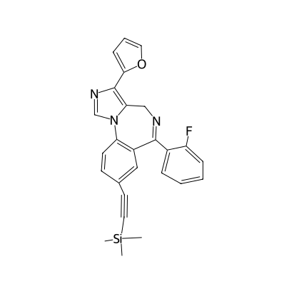 C[Si](C)(C)C#Cc1ccc2c(c1)C(c1ccccc1F)=NCc1c(-c3ccco3)ncn1-2